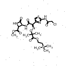 COC(=O)C1NC(=O)C1NC(=O)/C(=N\OC(C)(C)C(=O)OCC[Si](C)(C)C)c1csc(NC(=O)CCl)n1